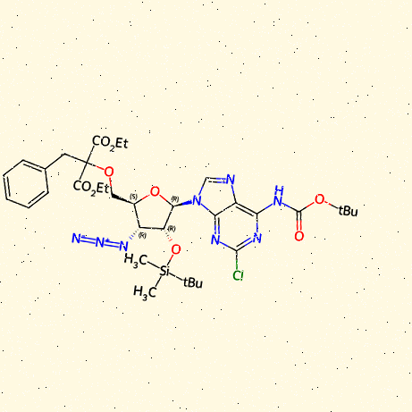 CCOC(=O)C(Cc1ccccc1)(OC[C@H]1O[C@@H](n2cnc3c(NC(=O)OC(C)(C)C)nc(Cl)nc32)[C@H](O[Si](C)(C)C(C)(C)C)[C@@H]1N=[N+]=[N-])C(=O)OCC